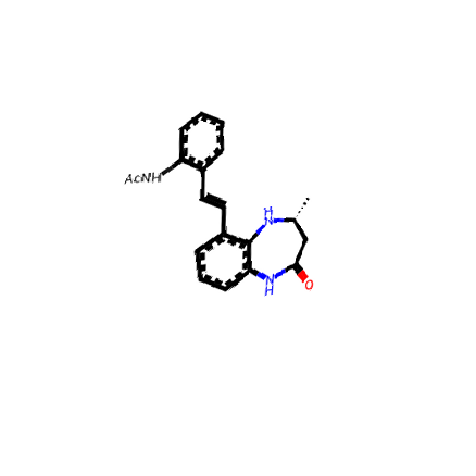 CC(=O)Nc1ccccc1/C=C/c1cccc2c1N[C@H](C)CC(=O)N2